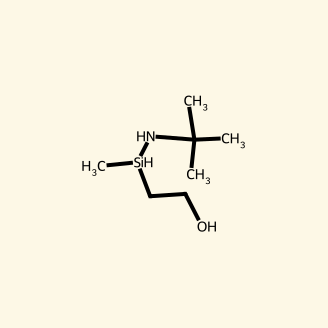 C[SiH](CCO)NC(C)(C)C